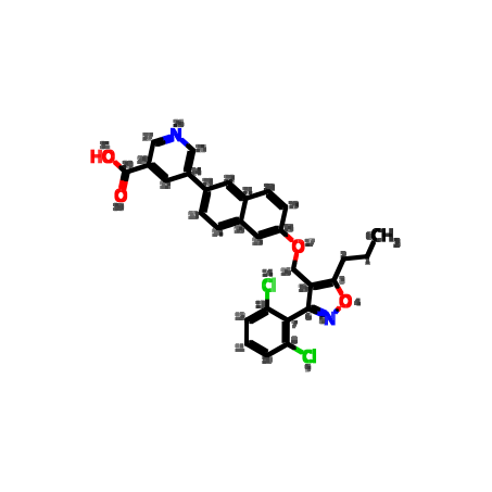 CCCc1onc(-c2c(Cl)cccc2Cl)c1COc1ccc2cc(-c3cncc(C(=O)O)c3)ccc2c1